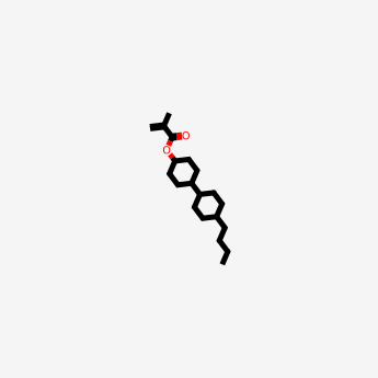 C=C(C)C(=O)OC1CCC(C2CCC(CCCC)CC2)CC1